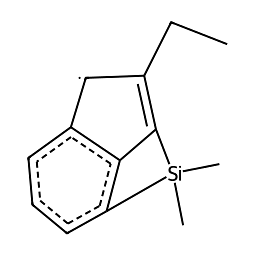 CCC1=C2c3c(cccc3[Si]2(C)C)[CH]1